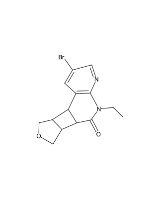 CCN1C(=O)C2C3COCC3C2c2cc(Br)cnc21